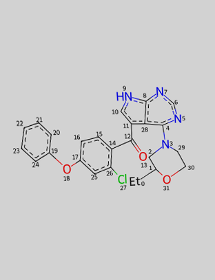 CCC1CN(c2ncnc3[nH]cc(C(=O)c4ccc(Oc5ccccc5)cc4Cl)c23)CCO1